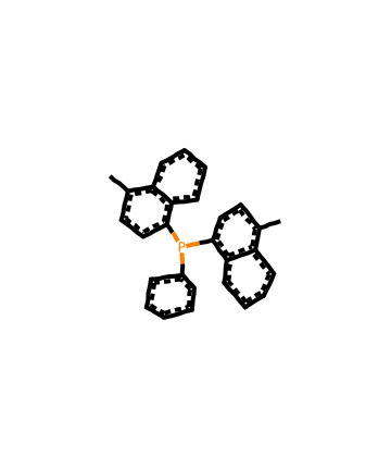 Cc1ccc(P(c2ccccc2)c2ccc(C)c3ccccc23)c2ccccc12